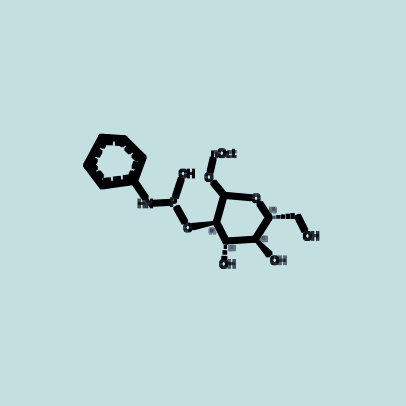 CCCCCCCCOC1O[C@H](CO)[C@@H](O)[C@H](O)[C@H]1OP(O)Nc1ccccc1